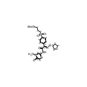 COCCCS(=O)(=O)c1ccc(/C(=N\O[C@@H]2CCOC2)C(=O)Nc2cn(C)c(=O)cn2)cc1